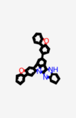 C1=CC2=Nc3c(c4cc(-c5ccc6oc7ccccc7c6c5)cc5c6cc7oc8ccccc8c7cc6n3c45)NC2C=C1